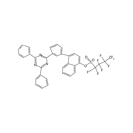 O=S(=O)(Oc1ccc(-c2cccc(-c3nc(-c4ccccc4)nc(-c4ccccc4)n3)c2)c2ccccc12)C(F)(F)C(F)(F)C(F)(F)C(F)(F)F